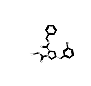 CC(C)(C)OC(=O)N1C[C@@H](Cc2cccc(Br)c2)C[C@@H]1C(=O)OCc1ccccc1